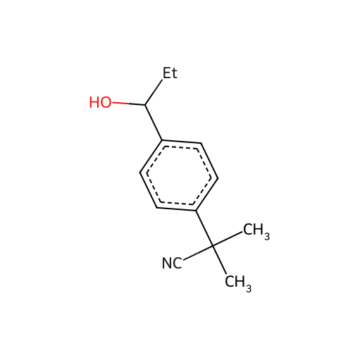 CCC(O)c1ccc(C(C)(C)C#N)cc1